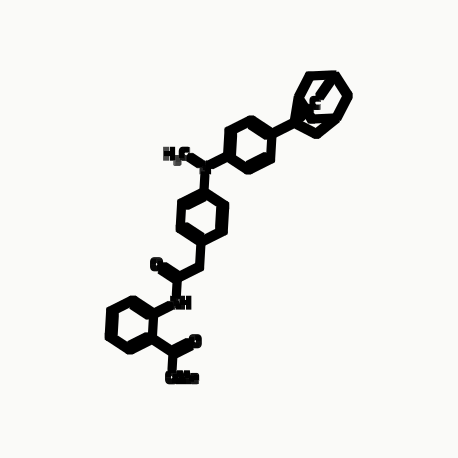 COC(=O)c1ccccc1NC(=O)Cc1ccc(N(C)c2ccc(C34CC5CC(CC3C5)C4)cc2)cc1